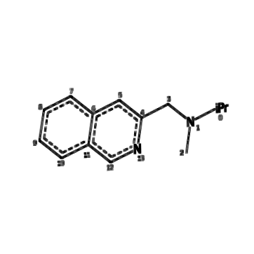 CC(C)N(C)Cc1cc2ccccc2cn1